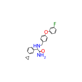 C1CC1.NC(=O)C(NCc1ccc(Oc2cccc(F)c2)cc1)c1ccccc1